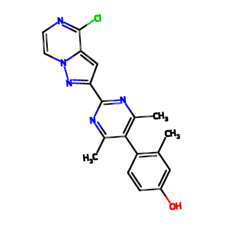 Cc1cc(O)ccc1-c1c(C)nc(-c2cc3c(Cl)nccn3n2)nc1C